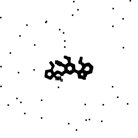 CC[C@@H]1CCC[C@]1(N)COc1cc(-c2cnc3cccc(OC)n23)cc(OC)c1C#N